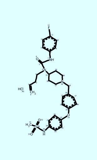 C=CCCN(C(=O)Nc1ccc(F)cc1)C1CCN(Cc2ccc(Oc3ccc(NS(C)(=O)=O)cc3)cc2)CC1.Cl